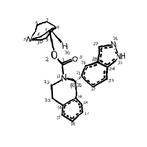 O=C(O[C@@H]1CN2CCC1CC2)N1CCc2ccccc2[C@H]1c1ccc2[nH]ncc2c1